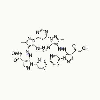 COC(=O)c1cnn(-c2cnccn2)c1/N=N/c1c(C)nn(-c2cc(-n3nc(C)c(/N=N/c4c(C(=O)CO)cnn4-c4cnccn4)c3N)ncn2)c1N